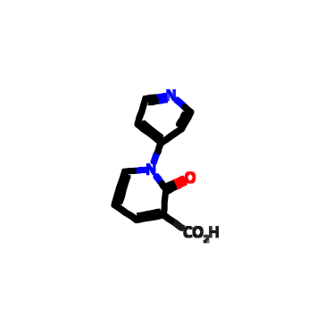 O=C(O)c1cccn(-c2ccncc2)c1=O